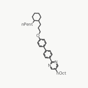 CCCCCCCCc1cnc(-c2ccc(-c3ccc(OCCCC4CCCCC4CCCCC)cc3)cc2)nc1